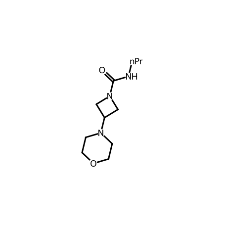 CCCNC(=O)N1CC(N2CCOCC2)C1